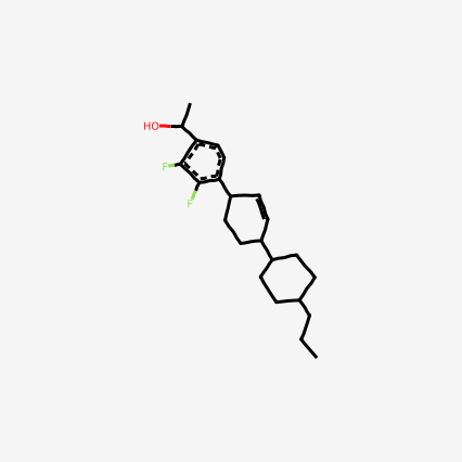 CCCC1CCC(C2C=CC(c3ccc(C(C)O)c(F)c3F)CC2)CC1